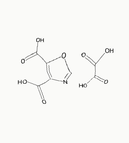 O=C(O)C(=O)O.O=C(O)c1ncoc1C(=O)O